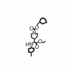 CCOC(=O)C(Nc1ccc(C)cc1)C1CCN(C(=O)OCc2ccccc2)CC1